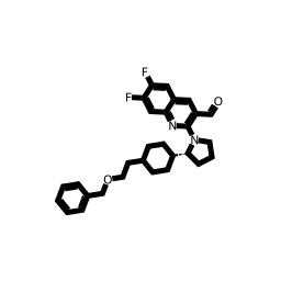 O=Cc1cc2cc(F)c(F)cc2nc1N1CCC[C@@H]1C1CCC(CCOCc2ccccc2)CC1